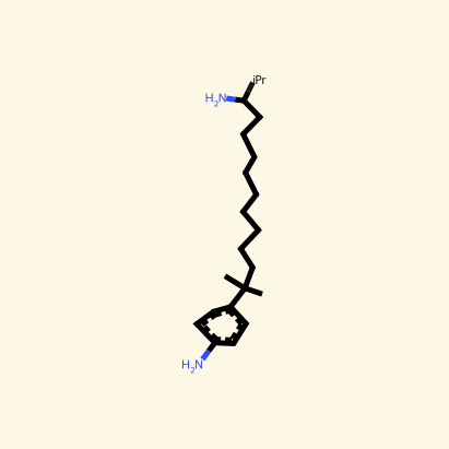 CC(C)C(N)CCCCCCCCCC(C)(C)c1ccc(N)cc1